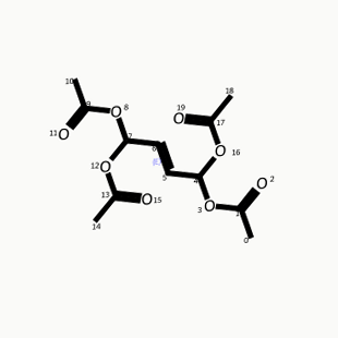 CC(=O)OC(/C=C/C(OC(C)=O)OC(C)=O)OC(C)=O